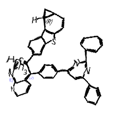 C=C(C1=CCC2C(=C1)SC1=C2[C@@H]2CC2C=C1)/C(=C1/C=CC=N/C1=N/C)c1ccc(-c2cc(-c3ccccc3)nc(-c3ccccc3)n2)cc1